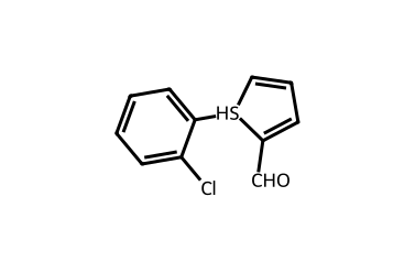 O=CC1=CC=C[SH]1c1ccccc1Cl